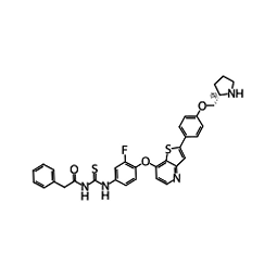 O=C(Cc1ccccc1)NC(=S)Nc1ccc(Oc2ccnc3cc(-c4ccc(OC[C@@H]5CCCN5)cc4)sc23)c(F)c1